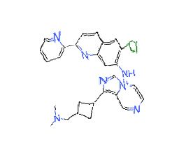 CN(C)CC1CC(C2=C3C=NC=C[N+]3(Nc3cc4nc(-c5ccccn5)ccc4cc3Cl)C=N2)C1